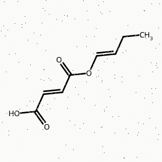 CCC=COC(=O)/C=C/C(=O)O